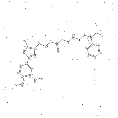 CCN(CCNCCC(=O)CCCc1nc(-c2ccc(OC)c(OC)c2)oc1C)c1ccccc1